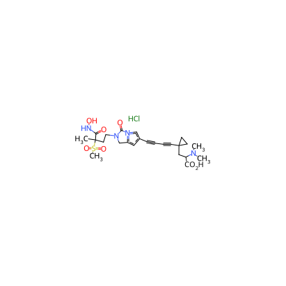 CN(C)C(CC1(C#CC#Cc2cc3n(c2)C(=O)N(CCC(C)(C(=O)NO)S(C)(=O)=O)C3)CC1)C(=O)O.Cl